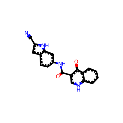 N#Cc1cc2ccc(NC(=O)c3c[nH]c4ccccc4c3=O)cc2[nH]1